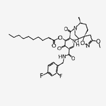 CCCCCCCCCC(=O)Oc1c2n(cc(C(=O)NCc3ccc(F)cc3F)c1=O)[C@@H]1CN(C2=O)[C@@H](C)CC[C@]12CC(OC)=NO2